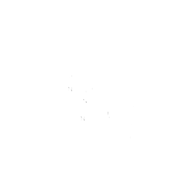 Cc1nc(C(=O)N2CCNCC2Cc2cc3c(Cl)cc(Cl)cc3o2)c(-c2ccc(F)cc2)s1